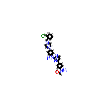 CC(=O)Nc1ccc(-c2ccnc(Nc3ccc(N4CCN(Cc5ccccc5Cl)CC4)cc3)n2)cc1